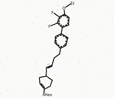 CCCCCCC1=CCC(/C=C/CCc2ccc(-c3ccc(OCC)c(F)c3F)cc2)CC1